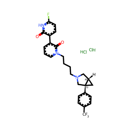 Cl.Cl.O=c1[nH]c(F)ccc1-c1cccn(CCCCN2C[C@@H]3C[C@]3(c3ccc(C(F)(F)F)cc3)C2)c1=O